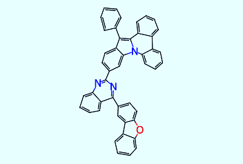 c1ccc(-c2c3ccc(-c4nc(-c5ccc6oc7ccccc7c6c5)c5ccccc5n4)cc3n3c4ccccc4c4ccccc4c23)cc1